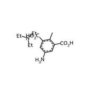 CCN(CC)CC.Cc1c(C(=O)O)cc(N)cc1C(=O)O